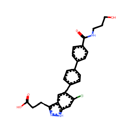 O=C(O)CCc1n[nH]c2cc(Cl)c(-c3ccc(-c4ccc(C(=O)NCCCO)cc4)cc3)cc12